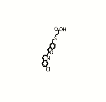 O=C(O)CCSCc1ccc2oc(-c3ccc4ccc(Cl)cc4n3)cc2c1